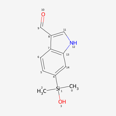 C[Si](C)(O)c1ccc2c(C=O)c[nH]c2c1